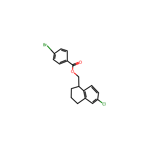 O=C(OCC1CCCc2cc(Cl)ccc21)c1ccc(Br)cc1